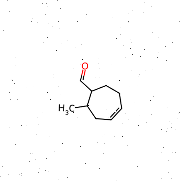 CC1CC=CCCC1C=O